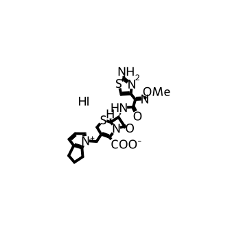 CO/N=C(/C(=O)N[C@@H]1C(=O)N2C(C(=O)[O-])=C(C[n+]3cccc4c3CCC4)CS[C@H]12)c1csc(N)n1.I